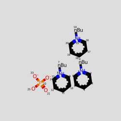 CCCC[n+]1ccccc1.CCCC[n+]1ccccc1.CCCC[n+]1ccccc1.O=P([O-])([O-])[O-]